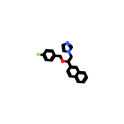 Fc1ccc(COC(Cn2ccnc2)c2ccc3ccccc3c2)cc1